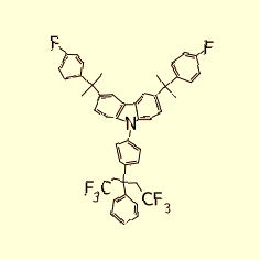 CC(C)(c1ccc(F)cc1)c1ccc2c(c1)c1cc(C(C)(C)c3ccc(F)cc3)ccc1n2-c1ccc(C(CC(F)(F)F)(CC(F)(F)F)c2ccccc2)cc1